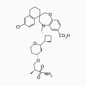 C[C@@H](CO[C@@H]1CCO[C@@H]([C@@H]2CC[C@H]2CN2CC3(CCCc4cc(Cl)ccc43)COc3ccc(C(=O)O)cc32)C1)S(N)(=O)=O